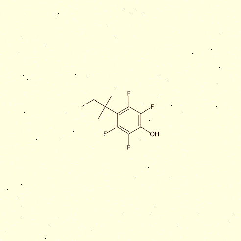 CCC(C)(C)c1c(F)c(F)c(O)c(F)c1F